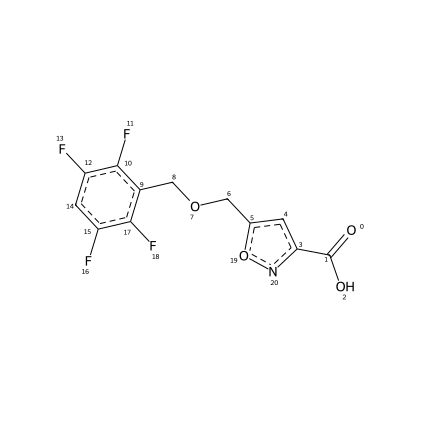 O=C(O)c1cc(COCc2c(F)c(F)cc(F)c2F)on1